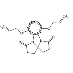 C=CCOc1ccccc1N1C(=O)CCC12CCC(=O)N2c1ccccc1OCC=C